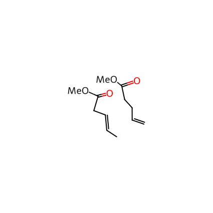 C=CCCC(=O)OC.CC=CCC(=O)OC